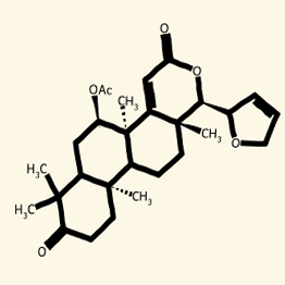 CC(=O)O[C@@H]1CC2C(C)(C)C(=O)CC[C@]2(C)C2CC[C@]3(C)C(=CC(=O)O[C@H]3C3C=CCO3)[C@@]21C